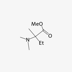 CCC(C)(C(=O)OC)N(C)C